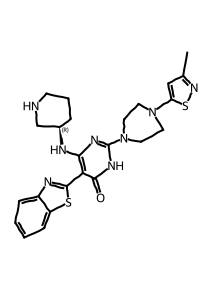 Cc1cc(N2CCN(c3nc(N[C@@H]4CCCNC4)c(-c4nc5ccccc5s4)c(=O)[nH]3)CC2)sn1